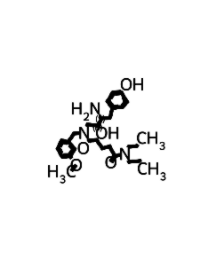 CCCN(CCC)C(=O)CCCC(=O)N(Cc1cccc(OC)c1)C[C@@H](O)[C@@H](N)Cc1ccc(O)cc1